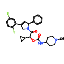 CN1CCC(NC(=O)O[C@H](C(=O)N2CC(c3cc(F)ccc3F)=C[C@H]2c2ccccc2)C2CC2)CC1